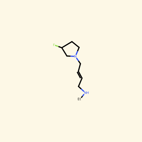 CCNC/C=C/CN1CCC(F)C1